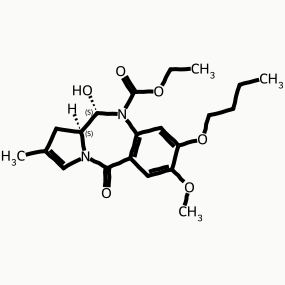 CCCCOc1cc2c(cc1OC)C(=O)N1C=C(C)C[C@H]1[C@H](O)N2C(=O)OCC